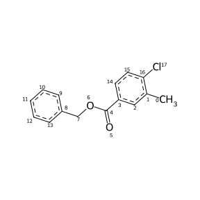 Cc1cc(C(=O)OCc2ccccc2)ccc1Cl